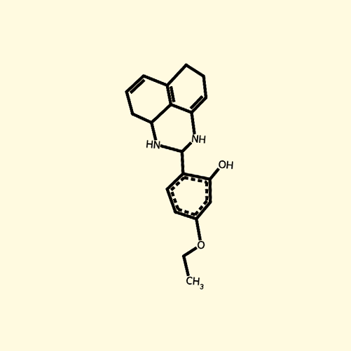 CCOc1ccc(C2NC3=CCCC4=C3C(CC=C4)N2)c(O)c1